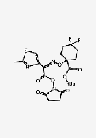 Cc1nc(/C(=N/OC2(C(=O)OC(C)(C)C)CCC(F)(F)CC2)C(=O)ON2C(=O)CCC2=O)cs1